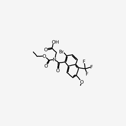 CCOC(=O)N(CC(=O)O)C(=O)c1c(Br)ccc2c(C(F)(F)F)c(OC)ccc12